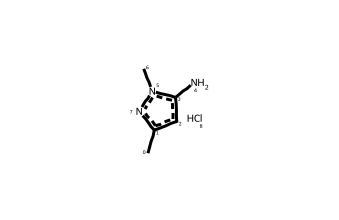 Cc1cc(N)n(C)n1.Cl